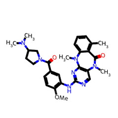 COc1ccc(C(=O)N2CCC(N(C)C)C2)cc1Nc1ncc2c(n1)N(C)c1cccc(C)c1C(=O)N2C